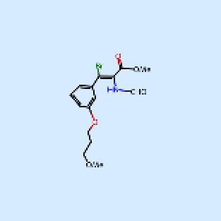 COCCCOc1cccc(C(Br)=C(NC=O)C(=O)OC)c1